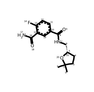 CC1(C)CC[C@@H](CNC(=O)c2ccc(F)c(C(N)=O)c2)O1